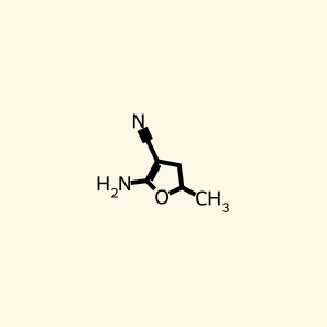 CC1CC(C#N)=C(N)O1